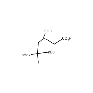 CCCCCCC(C)(CCCC)CN(C=O)CC(=O)O